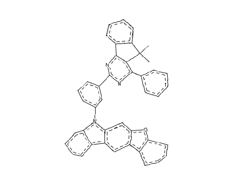 CC1(C)c2ccccc2-c2nc(-c3cccc(-n4c5ccccc5c5cc6c(cc54)oc4ccccc46)c3)nc(-c3ccccc3)c21